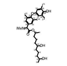 CNC(C(=O)OC(C)CCCC(O)CCCC(C)O)c1cc(I)c(Oc2cc(I)c(O)c(I)c2)c(I)c1